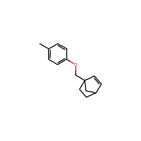 Cc1ccc(OCC23C=CC(CC2)C3)cc1